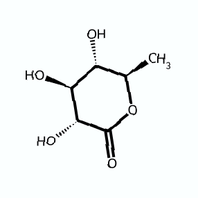 C[C@H]1OC(=O)[C@H](O)[C@@H](O)[C@@H]1O